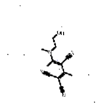 CC(=C(C#N)C#N)/C(C#N)=C(\C)N(C)CCO